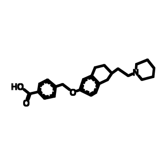 O=C(O)c1ccc(COc2ccc3c(c2)CCC(CCN2CCCCC2)C3)cc1